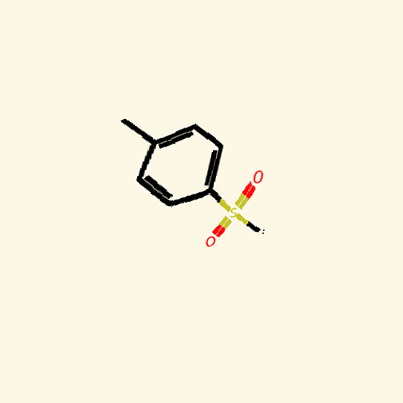 [CH]S(=O)(=O)c1ccc(C)cc1